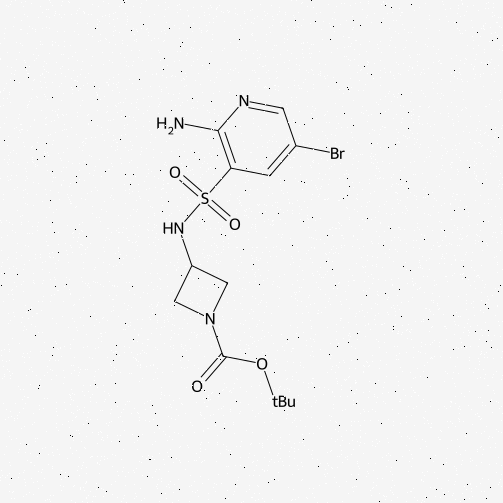 CC(C)(C)OC(=O)N1CC(NS(=O)(=O)c2cc(Br)cnc2N)C1